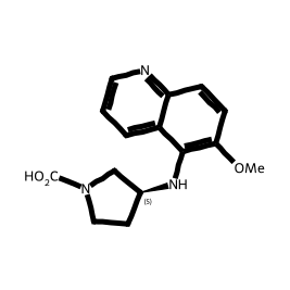 COc1ccc2ncccc2c1N[C@H]1CCN(C(=O)O)C1